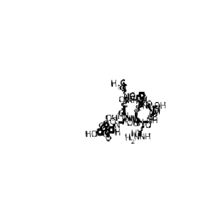 CCOCCNC(=O)[C@@H]1CSCC(=O)N[C@@H](CCCCNC(=O)c2ccc3c(c2)C2(OC3=O)c3ccc(O)cc3Oc3cc(O)ccc32)C(=O)N[C@H]2CSSC[C@H](NC(=O)[C@H](CC(=O)O)NC(=O)CNC(=O)[C@H](CCCNC(=N)N)NC2=O)C(=O)N[C@@H](Cc2ccccc2)C(=O)N1